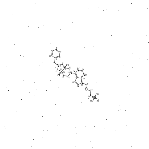 C[C@]12CN(Cc3ccccc3)C[C@H]1CCN(c1ncnc3c1ccn3COCC[Si](C)(C)C)C2